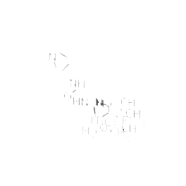 COc1cc(NCC(=O)NCc2cccnc2)ncc1C(F)(C(C)(C)C)C(C)(C)C